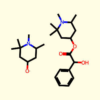 CC1CC(OC(=O)C(O)c2ccccc2)CC(C)(C)N1C.CC1CC([O])CC(C)(C)N1C